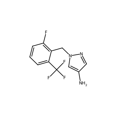 Nc1cnn(Cc2c(F)cccc2C(F)(F)F)c1